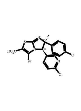 CCOC(=O)C1=C(C(C)C)N2C(=N[C@@](C)(c3ccc(Cl)cc3)[C@H]2c2ccc(Cl)nc2)S1